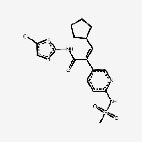 CS(=O)(=O)Nc1ccc(C(=CC2CCCC2)C(=O)Nc2ncc(Cl)s2)cn1